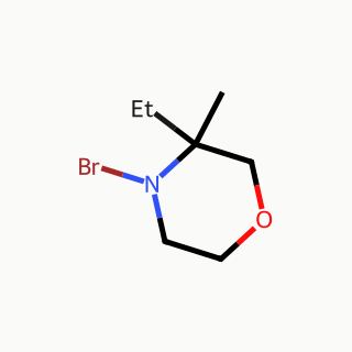 CCC1(C)COCCN1Br